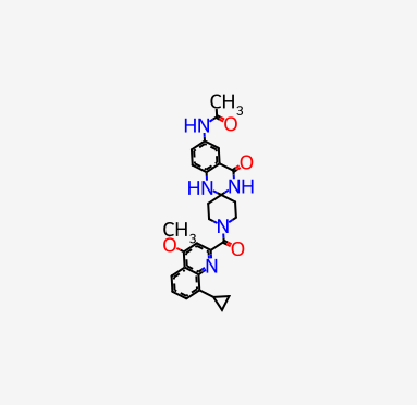 COc1cc(C(=O)N2CCC3(CC2)NC(=O)c2cc(NC(C)=O)ccc2N3)nc2c(C3CC3)cccc12